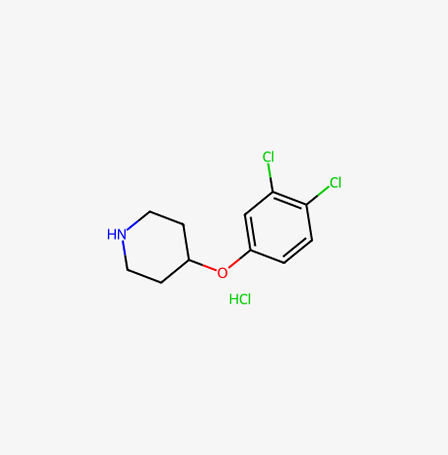 Cl.Clc1ccc(OC2CCNCC2)cc1Cl